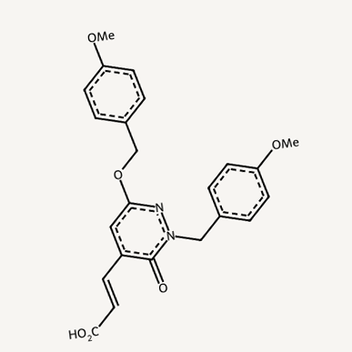 COc1ccc(COc2cc(/C=C/C(=O)O)c(=O)n(Cc3ccc(OC)cc3)n2)cc1